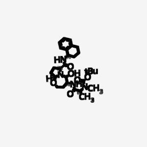 C[C@@H](C(=O)N[C@H]1CCO[C@H]2CC[C@@H](C(=O)N[C@@H]3CCCc4ccccc43)N2C1O)N(C)C(=O)OC(C)(C)C